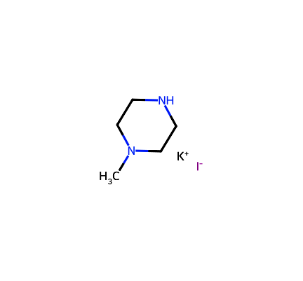 CN1CCNCC1.[I-].[K+]